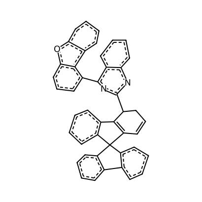 C1=CC2=C(c3ccccc3C23c2ccccc2-c2ccccc23)C(c2nc(-c3cccc4oc5ccccc5c34)c3ccccc3n2)C1